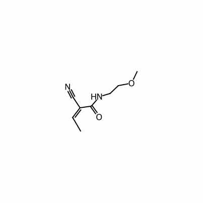 CC=C(C#N)C(=O)NCCOC